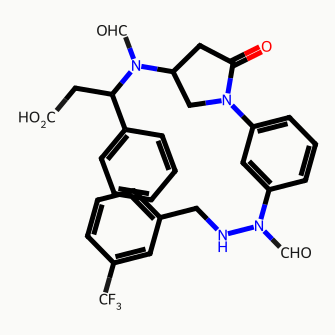 O=CN(NCc1cccc(C(F)(F)F)c1)c1cccc(N2CC(N(C=O)C(CC(=O)O)c3ccccc3)CC2=O)c1